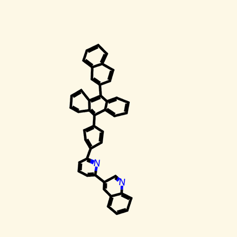 c1cc(-c2ccc(-c3c4ccccc4c(-c4ccc5ccccc5c4)c4ccccc34)cc2)nc(-c2cnc3ccccc3c2)c1